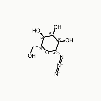 [N-]=[N+]=N[C@@H]1O[C@H](CO)[C@@H](O)[C@@H](O)[C@H]1O